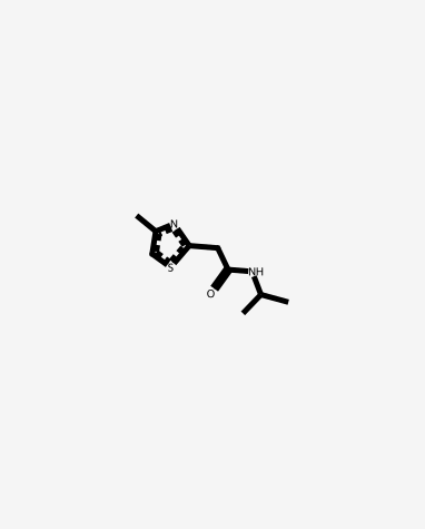 Cc1csc(CC(=O)NC(C)C)n1